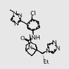 CC[C@@H](n1cnnc1)C12CC(C)CC(C1)N2C(=O)Nc1ccc(Cl)c(-c2ncn(C)n2)c1